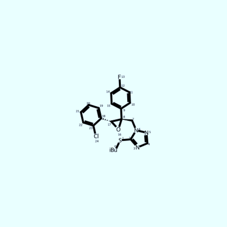 CCC(C)Sc1ncnn1C[C@@]1(c2ccc(F)cc2)O[C@@H]1c1ccccc1Cl